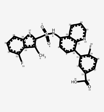 Cc1c(S(=O)(=O)Nc2ccc(-c3cc(C(=O)O)ccc3F)c3ncccc23)sc2cccc(F)c12